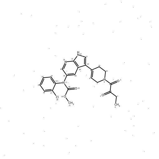 CCC(=O)C(=O)N1CC=C(c2c[nH]c3ncc(N(C(=O)OC)c4ccccc4Cl)cc23)CC1